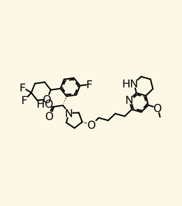 COc1cc(CCCCO[C@@H]2CCN([C@H](C(=O)O)c3cc(F)ccc3C3CCC(F)(F)CO3)C2)nc2c1CCCN2